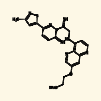 COCCOc1cnc2c(NCC(=N)n3nc(-c4cc(C)ns4)ccc3=N)ccnc2c1